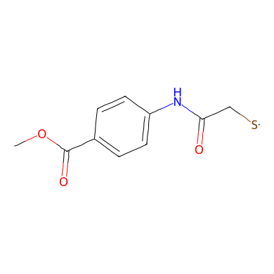 COC(=O)c1ccc(NC(=O)C[S])cc1